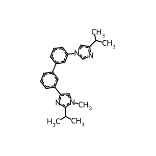 CC(C)c1cn(-c2cccc(-c3cccc(-c4cn(C)c(C(C)C)n4)c3)c2)cn1